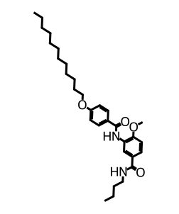 CCCCCCCCCCCCOc1ccc(C(=O)Nc2cc(C(=O)NCCCC)ccc2OC)cc1